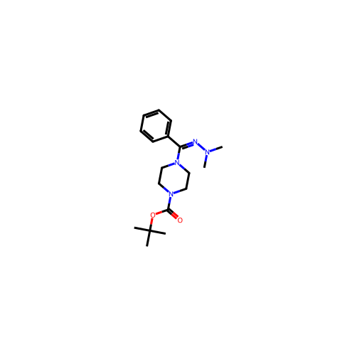 CN(C)N=C(c1ccccc1)N1CCN(C(=O)OC(C)(C)C)CC1